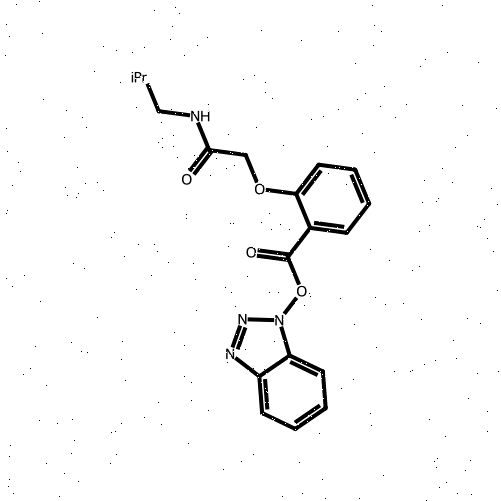 CC(C)CNC(=O)COc1ccccc1C(=O)On1nnc2ccccc21